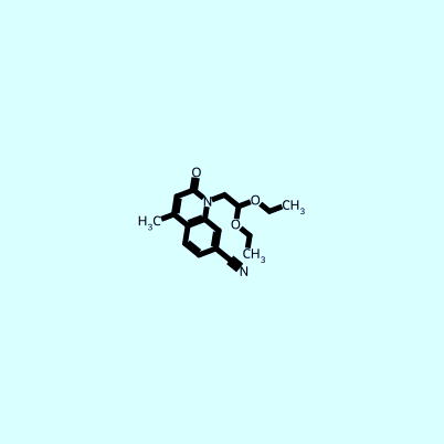 CCOC(Cn1c(=O)cc(C)c2ccc(C#N)cc21)OCC